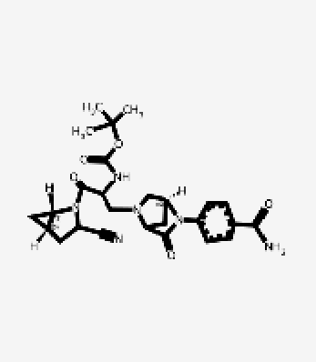 CC(C)(C)OC(=O)NC(CN1C[C@@H]2CC1C(=O)N2c1ccc(C(N)=O)cc1)C(=O)N1C(C#N)C[C@@H]2C[C@@H]21